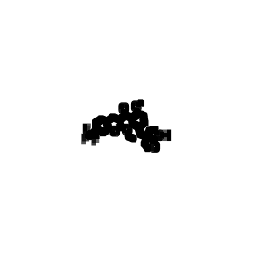 CCOC(=O)C(Cc1ccc(C(F)(F)F)cc1)C(=O)c1cc(CC(CC)(CC)C(=O)O)ccc1OC